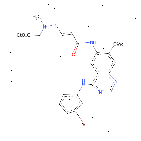 CCOC(=O)CN(C)C/C=C/C(=O)Nc1cc2c(Nc3cccc(Br)c3)ncnc2cc1OC